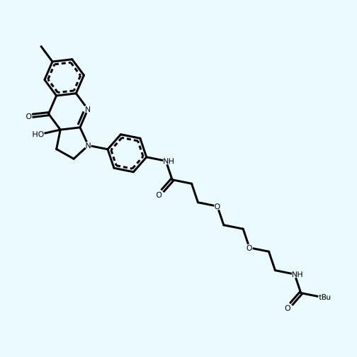 Cc1ccc2c(c1)C(=O)C1(O)CCN(c3ccc(NC(=O)CCOCCOCCNC(=O)C(C)(C)C)cc3)C1=N2